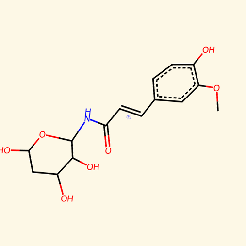 COc1cc(/C=C/C(=O)NC2OC(O)CC(O)C2O)ccc1O